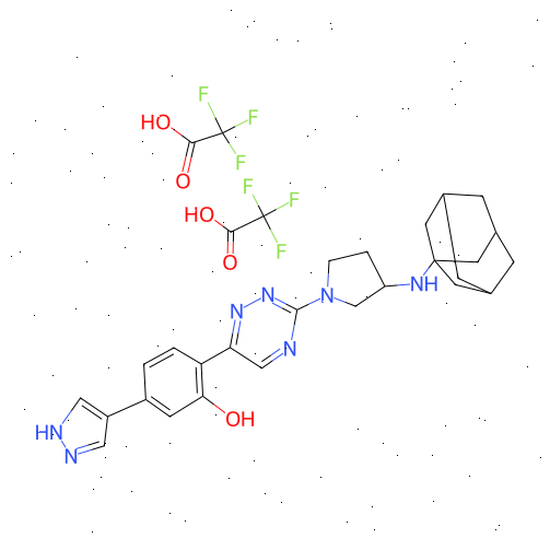 O=C(O)C(F)(F)F.O=C(O)C(F)(F)F.Oc1cc(-c2cn[nH]c2)ccc1-c1cnc(N2CCC(NC34CC5CC(CC(C5)C3)C4)C2)nn1